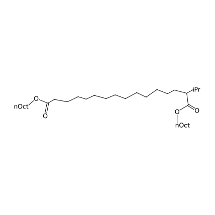 CCCCCCCCOC(=O)CCCCCCCCCCCCCC(C(=O)OCCCCCCCC)C(C)C